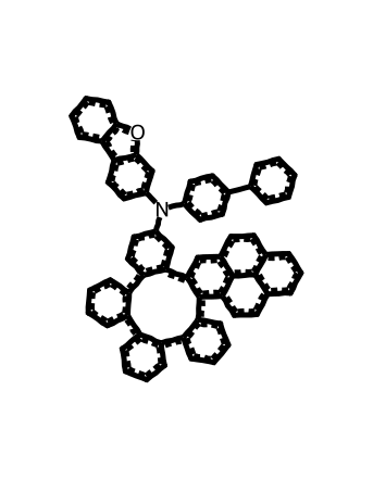 c1ccc(-c2ccc(N(c3ccc4c(c3)oc3ccccc34)c3ccc4c5ccccc5c5ccccc5c5ccccc5c5c(cc6ccc7cccc8ccc5c6c78)c4c3)cc2)cc1